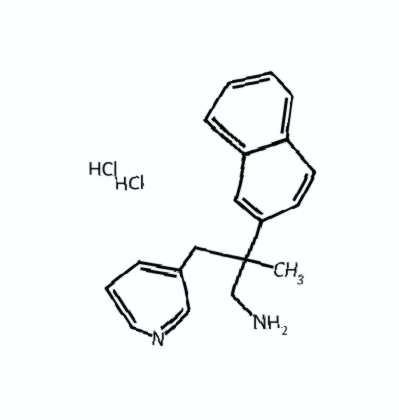 CC(CN)(Cc1cccnc1)c1ccc2ccccc2c1.Cl.Cl